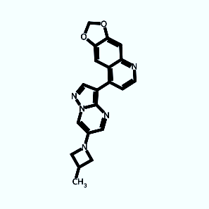 CC1CN(c2cnc3c(-c4ccnc5cc6c(cc45)OCO6)cnn3c2)C1